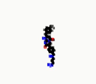 NCCCNCc1ccc(-c2cn3c(=O)cc(Cc4ccc(C(F)(F)F)cc4)[nH]c3nc2=O)cc1